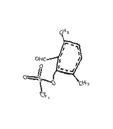 Cc1ccc(C)c(OS(=O)(=O)C(F)(F)F)c1C=O